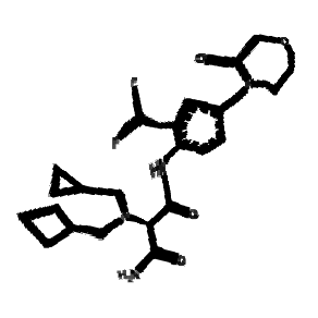 NC(=O)[C@H](C(=O)Nc1ccc(N2CCOCC2=O)cc1C(F)F)N(CC1CCC1)CC1CC1